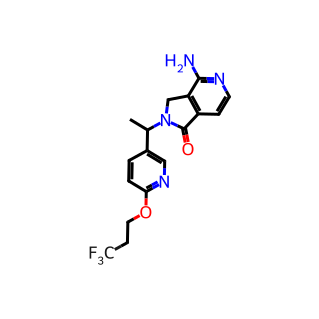 CC(c1ccc(OCCC(F)(F)F)nc1)N1Cc2c(ccnc2N)C1=O